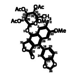 COc1cc2c(OC3O[C@H](C)[C@H](OC(C)=O)[C@H](OC(C)=O)[C@H]3OC(C)=O)c3c(c(-c4ccc5c(c4)OCO5)c2cc1OC)C(=O)OC3